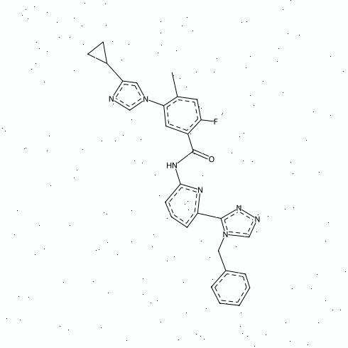 Cc1cc(F)c(C(=O)Nc2cccc(-c3nncn3Cc3ccccc3)n2)cc1-n1cnc(C2CC2)c1